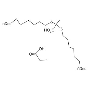 CCC(=O)O.CCCCCCCCCCCCCCCCSC(C)(SCCCCCCCCCCCCCCCC)C(=O)O